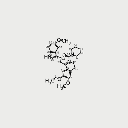 CCOc1cc2c(cc1OC)CCN(C(=O)N1CCCCC1)C2CCc1c[nH]c2ccc(OC)cc12